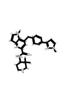 Cn1ccc(-c2ccc(Cc3cc(C(=O)NC4CCOCC4(C)C)nc4ccn(C)c34)cc2)n1